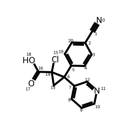 N#Cc1ccc(C2(c3cccnc3)CC2(Cl)C(=O)O)cc1